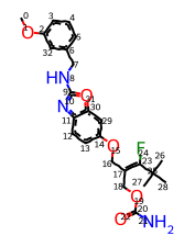 COc1cccc(CNc2nc3ccc(OCC(COC(N)=O)=C(F)C(C)(C)C)cc3o2)c1